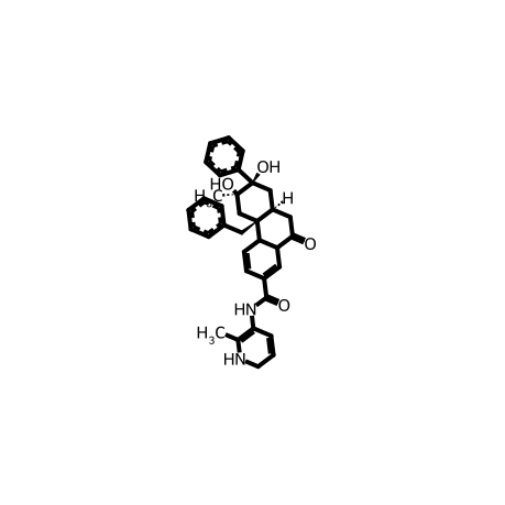 CC1=C(NC(=O)C2=CC3C(=O)C[C@@H]4C[C@@](O)(c5ccccc5)[C@](C)(O)C[C@@]4(Cc4ccccc4)C3C=C2)C=CCN1